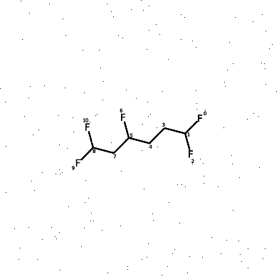 FC(F)CCC(F)CC(F)F